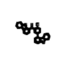 Clc1ccc(-c2cccc3oc4ccccc4c23)cc1Nc1cccc2c1sc1ccccc12